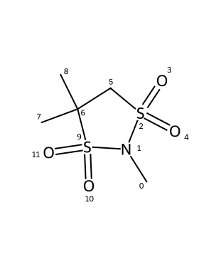 CN1S(=O)(=O)CC(C)(C)S1(=O)=O